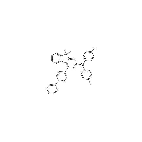 Cc1ccc(N(c2ccc(C)cc2)c2cc(-c3ccc(-c4ccccc4)cc3)c3c(c2)C(C)(C)c2ccccc2-3)cc1